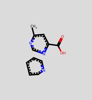 Cc1cc(C(=O)O)ncn1.c1ccncc1